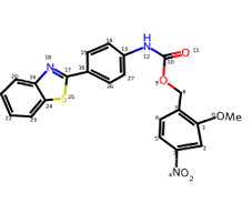 COc1cc([N+](=O)[O-])ccc1COC(=O)Nc1ccc(-c2nc3ccccc3s2)cc1